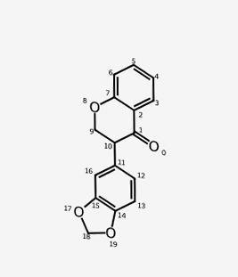 O=C1c2ccccc2OCC1c1ccc2c(c1)OCO2